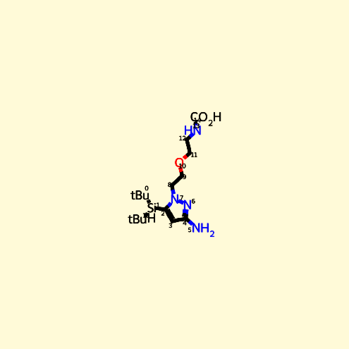 CC(C)(C)[SiH](c1cc(N)nn1CCOCCNC(=O)O)C(C)(C)C